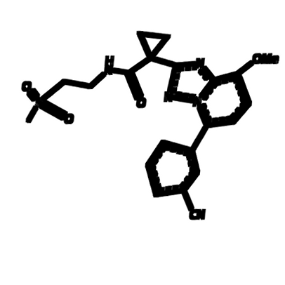 COc1ccc(-c2cccc(C#N)c2)n2nc(C3(C(=O)NCCS(C)(=O)=O)CC3)nc12